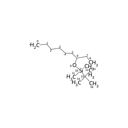 [CH2]CCCCCC(CC)O[Si](C)(C)C(C)(C)C